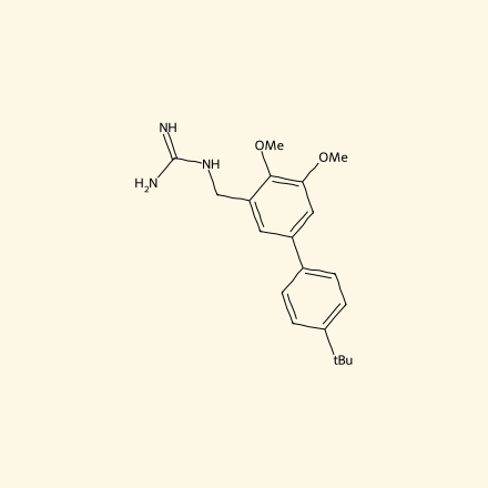 COc1cc(-c2ccc(C(C)(C)C)cc2)cc(CNC(=N)N)c1OC